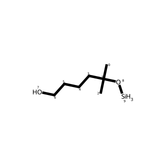 CC(C)(CCCCO)O[SiH3]